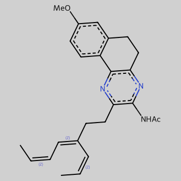 C\C=C/C=C(\C=C/C)CCc1nc2c(nc1NC(C)=O)CCc1cc(OC)ccc1-2